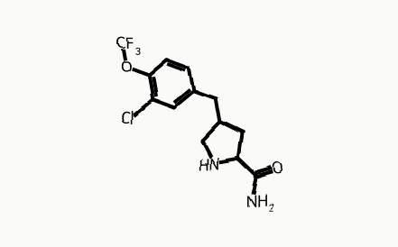 NC(=O)C1CC(Cc2ccc(OC(F)(F)F)c(Cl)c2)CN1